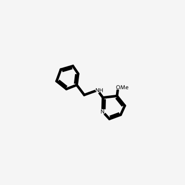 COc1cccnc1NCc1ccccc1